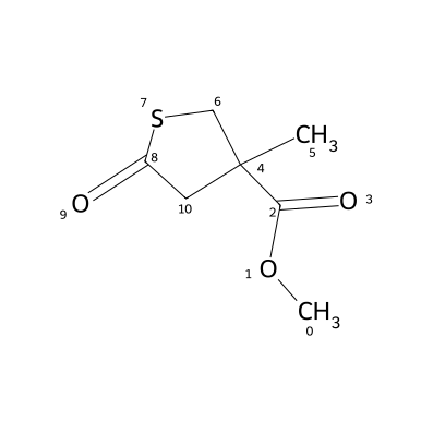 COC(=O)C1(C)CSC(=O)C1